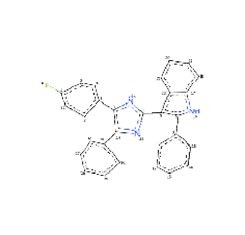 Fc1ccc(-c2[nH]c(-c3c(-c4ccccc4)[nH]c4ccccc34)nc2-c2ccccc2)cc1